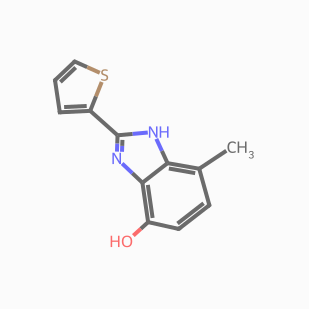 Cc1ccc(O)c2nc(-c3cccs3)[nH]c12